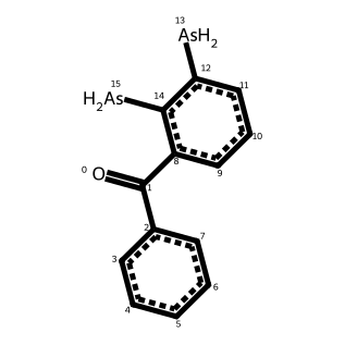 O=C(c1ccccc1)c1cccc([AsH2])c1[AsH2]